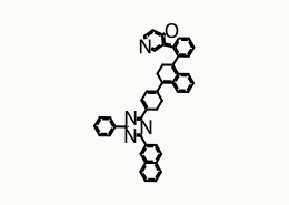 C1=C(C2=c3ccccc3=C(c3cccc4oc5ccncc5c34)CC2)CCC(c2nc(-c3ccccc3)nc(-c3ccc4ccccc4c3)n2)=C1